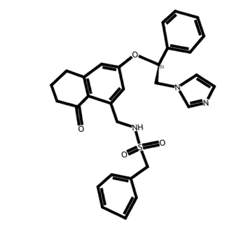 O=C1CCCc2cc(O[C@H](Cn3ccnc3)c3ccccc3)cc(CNS(=O)(=O)Cc3ccccc3)c21